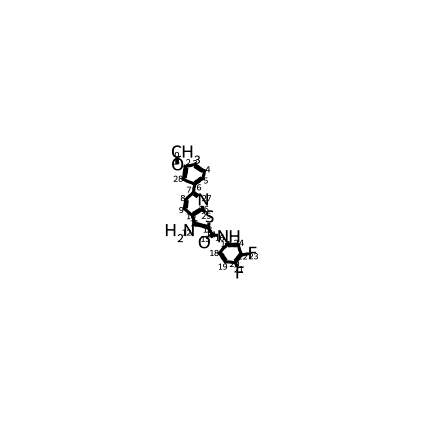 COc1cccc(-c2ccc3c(N)c(C(=O)Nc4ccc(F)c(F)c4)sc3n2)c1